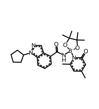 Cc1cc(C)n([B-]2(NC(=O)c3cccc4c3cnn4C3CCCC3)OC(C)(C)C(C)(C)O2)c(=O)c1